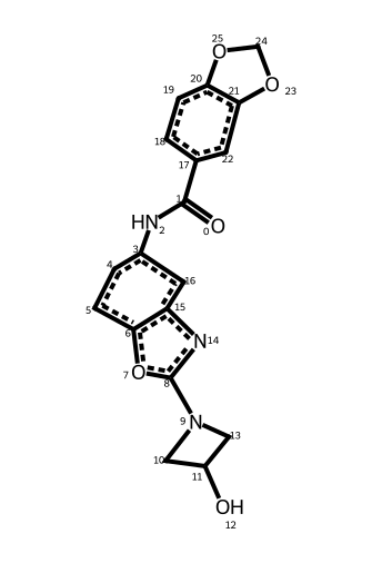 O=C(Nc1ccc2oc(N3CC(O)C3)nc2c1)c1ccc2c(c1)OCO2